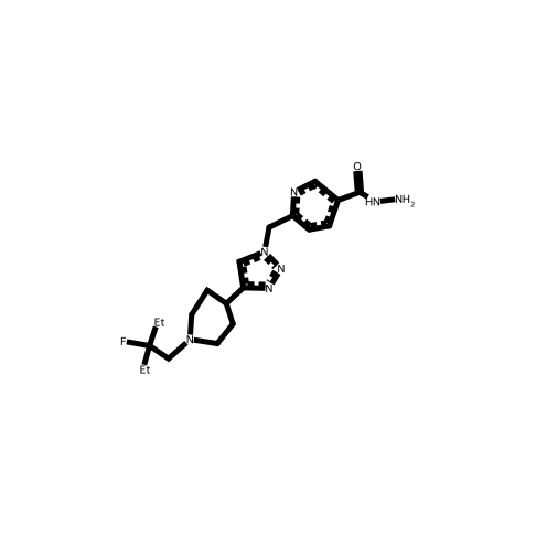 CCC(F)(CC)CN1CCC(c2cn(Cc3ccc(C(=O)NN)cn3)nn2)CC1